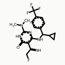 CN(C)c1nc(NC(c2ccc(C(F)(F)F)cc2)C2CC2)c(C(=N)CF)c(=O)[nH]1